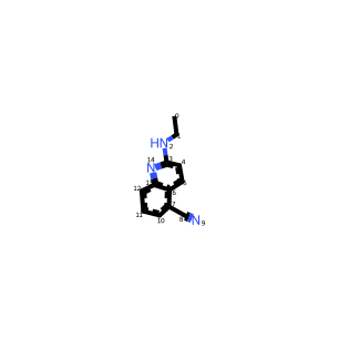 CCNc1ccc2c(C#N)cccc2n1